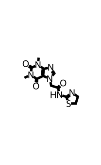 Cn1c(=O)c2c(ncn2CC(=O)NC2=NCCS2)n(C)c1=O